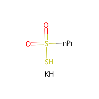 CCCS(=O)(=O)S.[KH]